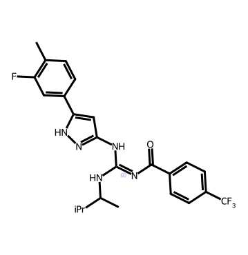 Cc1ccc(-c2cc(N/C(=N\C(=O)c3ccc(C(F)(F)F)cc3)NC(C)C(C)C)n[nH]2)cc1F